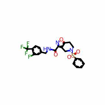 O=C(NCc1ccc(C(F)(F)F)c(F)c1)c1noc2c1CN(S(=O)(=O)c1ccccc1)CC2